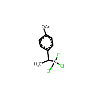 CC(=O)Oc1ccc(C(C)[Si](Cl)(Cl)Cl)cc1